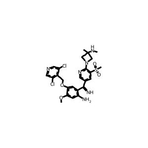 CNC1(C)CN(c2ncc(C(=N)c3cc(OCc4c(Cl)cncc4Cl)c(OC)cc3N)cc2S(C)(=O)=O)C1